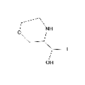 OC(I)C1COCCN1